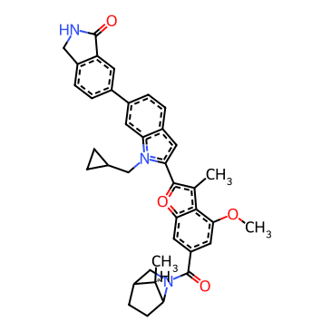 COc1cc(C(=O)N2CC3CCC2[C@@H]3C)cc2oc(-c3cc4ccc(-c5ccc6c(c5)C(=O)NC6)cc4n3CC3CC3)c(C)c12